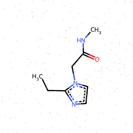 CCc1nccn1CC(=O)NC